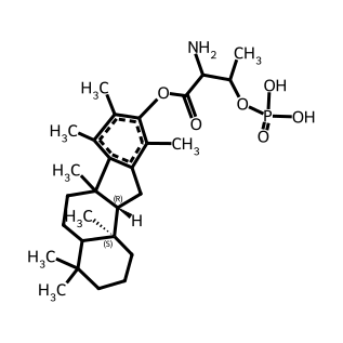 Cc1c(C)c2c(c(C)c1OC(=O)C(N)C(C)OP(=O)(O)O)C[C@H]1C2(C)CCC2C(C)(C)CCC[C@@]21C